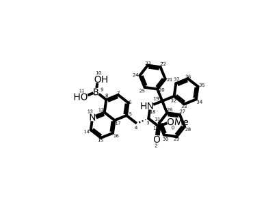 COC(=O)[C@H](Cc1ccc(B(O)O)c2ncccc12)NC(c1ccccc1)(c1ccccc1)c1ccccc1